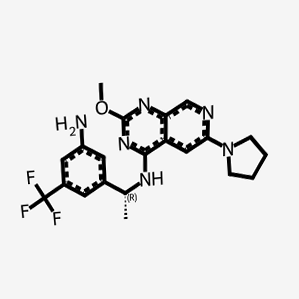 COc1nc(N[C@H](C)c2cc(N)cc(C(F)(F)F)c2)c2cc(N3CCCC3)ncc2n1